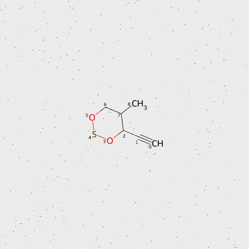 C#CC1OSOCC1C